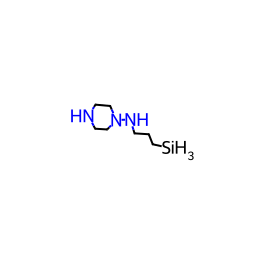 [SiH3]CCCNN1CCNCC1